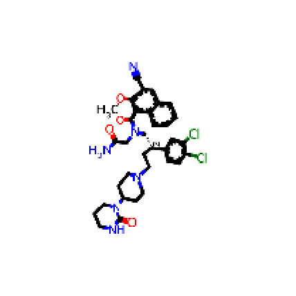 COc1c(C#N)cc2ccccc2c1C(=O)N(CC(N)=O)C[C@@H](CCN1CCC(N2CCCNC2=O)CC1)c1ccc(Cl)c(Cl)c1